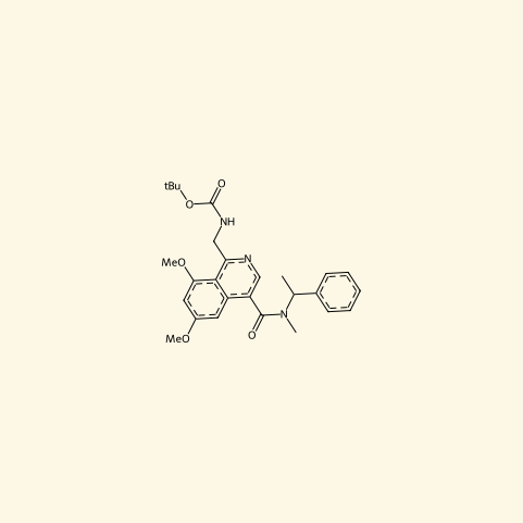 COc1cc(OC)c2c(CNC(=O)OC(C)(C)C)ncc(C(=O)N(C)C(C)c3ccccc3)c2c1